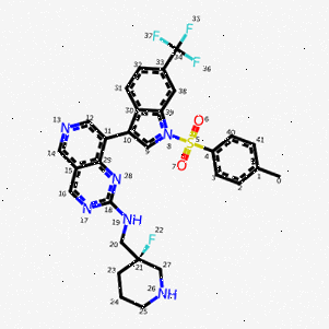 Cc1ccc(S(=O)(=O)n2cc(-c3cncc4cnc(NC[C@@]5(F)CCCNC5)nc34)c3ccc(C(F)(F)F)cc32)cc1